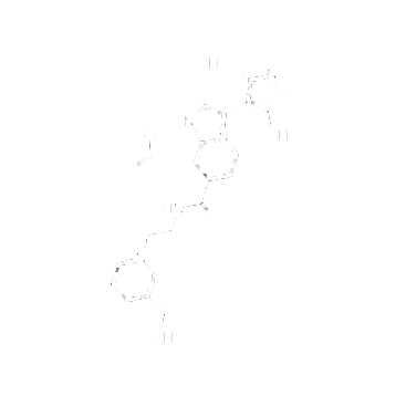 CCc1ccc[n+](CCNC(=O)c2ccn3c(-c4c(C)noc4C)cnc3c2)c1.O=C[O-]